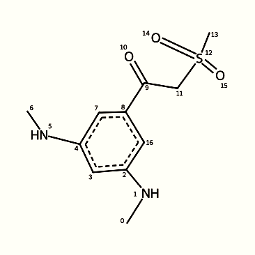 CNc1cc(NC)cc(C(=O)CS(C)(=O)=O)c1